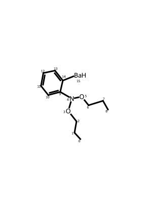 CCCON(OCCC)c1cccc[c]1[BaH]